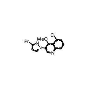 COc1c(-n2ccc(C(C)C)n2)[c]nc2cccc(Cl)c12